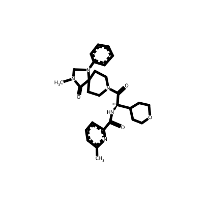 Cc1cccc(C(=O)N[C@@H](C(=O)N2CCC3(CC2)C(=O)N(C)CN3c2ccccc2)C2CCOCC2)n1